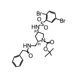 CC(C)(C)OC(=O)N1C[C@H](NS(=O)(=O)c2cc(Br)ccc2Br)C[C@@H]1CNC(=O)Cc1ccccc1